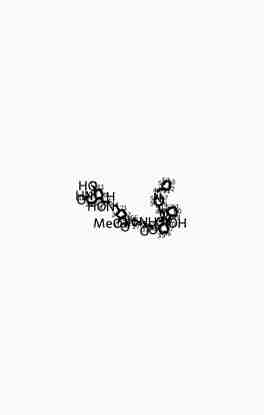 COc1cc(CNC[C@H](O)c2ccc(O)c3[nH]c(=O)ccc23)ccc1C(=O)N1CC(NC(=O)COc2cccc(C(O)(C(=O)OCC3CCN(Cc4ccccc4)CC3)c3ccccc3)c2)C1